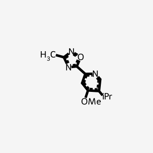 COc1cc(-c2nc(C)no2)ncc1C(C)C